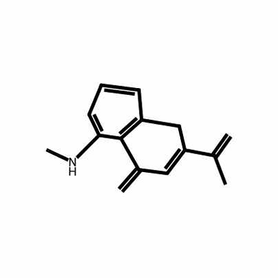 C=C(C)C1=CC(=C)c2c(cccc2NC)C1